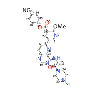 COc1ncc(-c2ccc3ncnc(N[C@@H](C)C(=O)N4CCN(C)CC4)c3n2)cc1C(=O)Oc1ccc(C#N)cc1